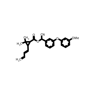 C=CC=CC1C(C(=O)OC(C#N)c2cccc(Oc3cccc(OC)c3)c2)C1(C)C